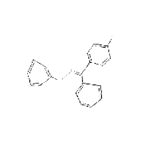 Clc1ccc(/C(=N/Nc2ccccc2)c2ccccc2)cc1